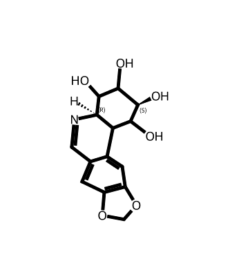 OC1C(O)[C@@H]2N=Cc3cc4c(cc3C2C(O)[C@@H]1O)OCO4